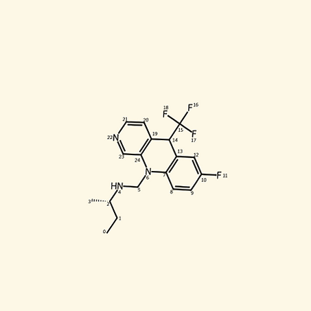 CC[C@H](C)NCN1c2ccc(F)cc2C(C(F)(F)F)c2ccncc21